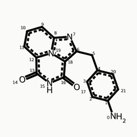 Nc1ccc(Cc2nc3cccc4c(=O)[nH]c(=O)c2n34)cc1